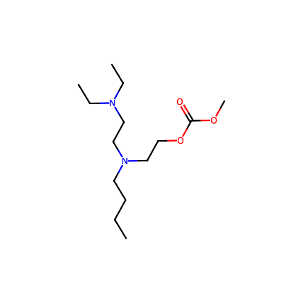 CCCCN(CCOC(=O)OC)CCN(CC)CC